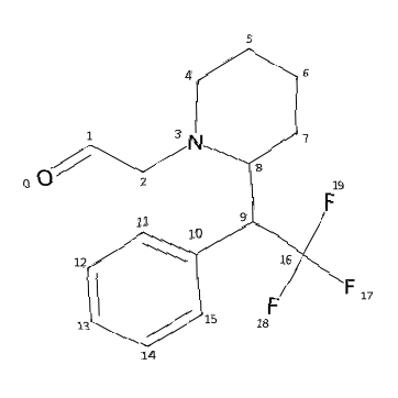 O=CCN1CCCCC1C(c1ccccc1)C(F)(F)F